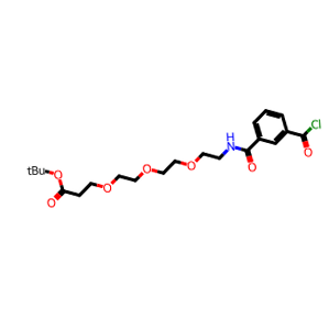 CC(C)(C)OC(=O)CCOCCOCCOCCNC(=O)c1cccc(C(=O)Cl)c1